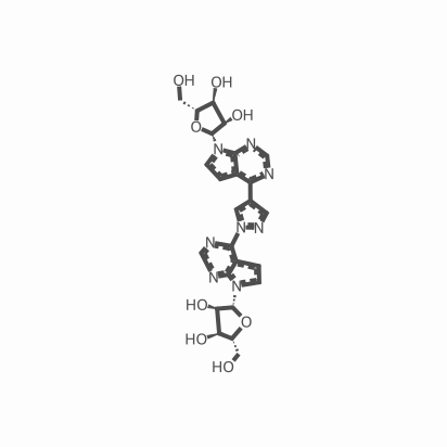 OC[C@H]1O[C@@H](n2ccc3c(-c4cnn(-c5ncnc6c5ccn6[C@@H]5O[C@H](CO)[C@@H](O)[C@H]5O)c4)ncnc32)[C@H](O)[C@@H]1O